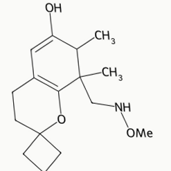 CONCC1(C)C2=C(C=C(O)C1C)CCC1(CCC1)O2